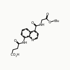 CC(C)(C)OC(=O)CNC(=O)c1ccnc2c(NC(=O)CCC(=O)O)cccc12